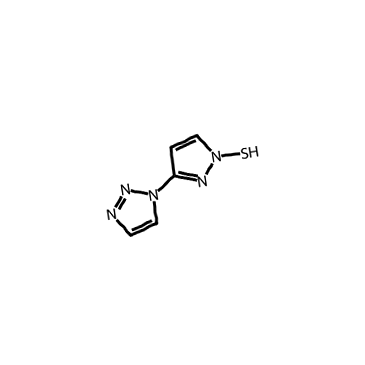 Sn1ccc(-n2ccnn2)n1